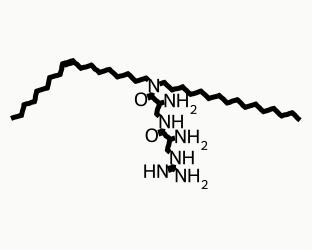 CCCCCCCC/C=C\CCCCCCCCN(CCCCCCCCCCCCCCCC)C(=O)C(N)CNC(=O)C(N)CNC(=N)N